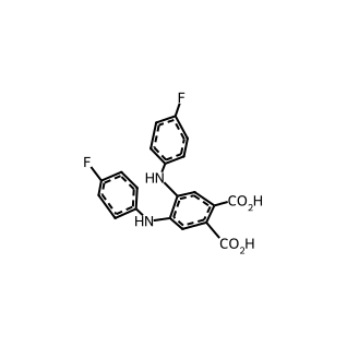 O=C(O)c1cc(Nc2ccc(F)cc2)c(Nc2ccc(F)cc2)cc1C(=O)O